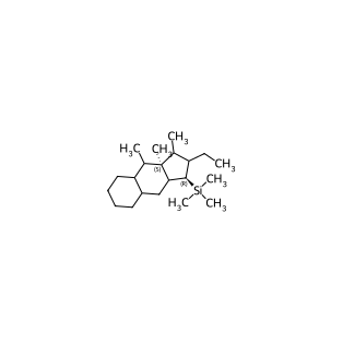 CCC1C(C)[C@]2(C)C(C)C3CCCCC3CC2[C@@H]1[Si](C)(C)C